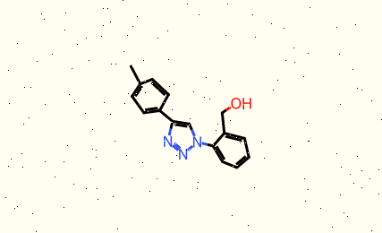 Cc1ccc(-c2cn(-c3ccccc3CO)nn2)cc1